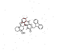 CC(C)[C@@H](C(=O)N[C@@H](CC(=O)O)C(=O)N1CCCCC1)N(C)C(=O)[C@H](Cc1ccccc1)N(C)C(=O)OCC1c2ccccc2-c2ccccc21